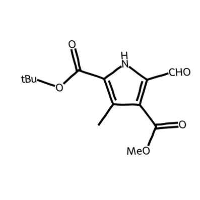 COC(=O)c1c(C=O)[nH]c(C(=O)OC(C)(C)C)c1C